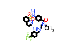 CCN(CCNCc1ccc(C(F)(F)F)cc1)C(=O)c1ccc(NS(=O)(=O)c2cccc3cccnc23)cc1